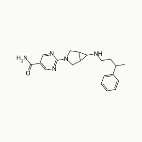 CC(CCNC1C2CN(c3ncc(C(N)=O)cn3)CC21)c1ccccc1